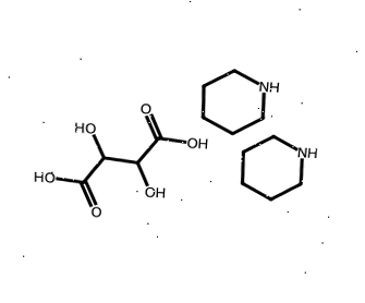 C1CCNCC1.C1CCNCC1.O=C(O)C(O)C(O)C(=O)O